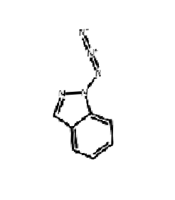 [N-]=[N+]=Nn1ncc2ccccc21